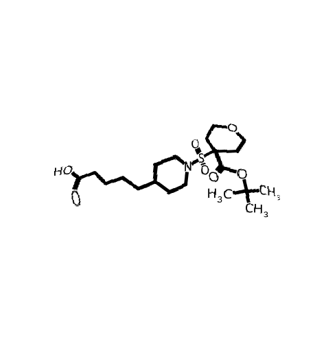 CC(C)(C)OC(=O)C1(S(=O)(=O)N2CCC(CCCCC(=O)O)CC2)CCOCC1